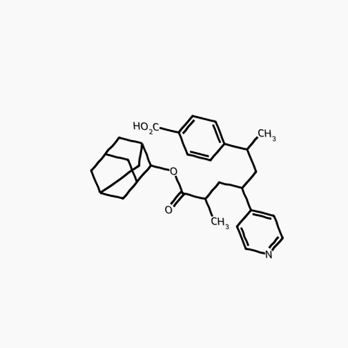 CC(CC(CC(C)c1ccc(C(=O)O)cc1)c1ccncc1)C(=O)OC1C2CC3CC(C2)CC1C3